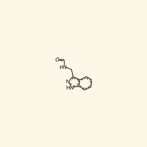 O=[C]NCc1n[nH]c2ccccc12